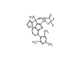 CCCC(N)(c1nccs1)c1c2cccc(-c3c(C)cc(C)cc3C)c2nn1C.O=C(O)C(F)(F)F